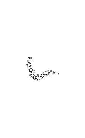 NCCN1CC=C(c2ccc(-c3ccc4sc5ccc(-c6ccc(C7=CCN(CCN)CC7)cc6)cc5c4c3)cc2)CC1